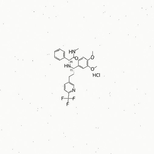 CNC(=O)[C@H](N[C@@H](CCc1ccc(C(F)(F)F)nc1)c1ccc(OC)c(OC)c1)c1ccccc1.Cl